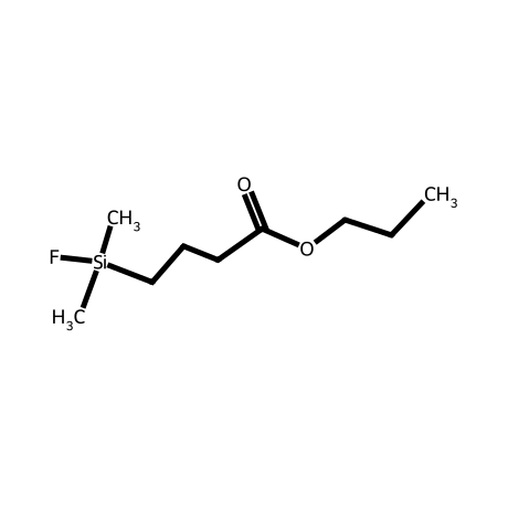 CCCOC(=O)CCC[Si](C)(C)F